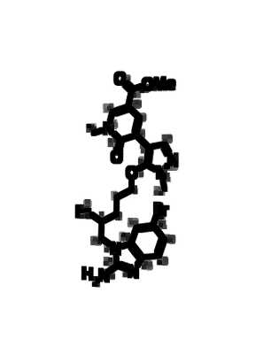 CCC(CCCOc1c(-c2cc(C(=O)OC)cn(C)c2=O)cnn1C)Cn1c(N)nc2ccc(Br)cc21